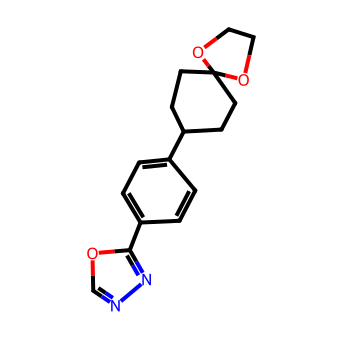 c1nnc(-c2ccc(C3CCC4(CC3)OCCO4)cc2)o1